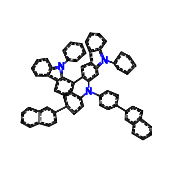 c1ccc(-n2c3ccccc3c3cc(-c4cccc5c6ccccc6n(-c6ccccc6)c45)c(N(c4ccc(-c5ccc6ccccc6c5)cc4)c4ccc(-c5ccc6ccccc6c5)cc4)cc32)cc1